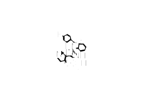 O=C(NC1(N2NC=C(c3cnccc3C(=O)O)N2)C=CC=CC1)c1ccc(F)cc1